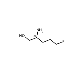 N[C@H](CO)CCCF